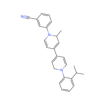 CC(C)c1ccccc1N1C=CC(C2=CC(C)N(c3cccc(C#N)c3)C=C2)=CC1